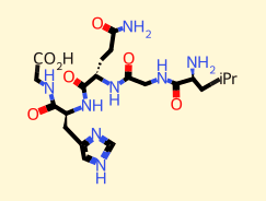 CC(C)C[C@H](N)C(=O)NCC(=O)N[C@@H](CCC(N)=O)C(=O)N[C@@H](Cc1c[nH]cn1)C(=O)NCC(=O)O